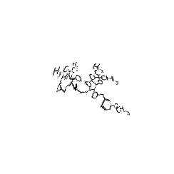 COc1cccc(COC2C(CN(CC3CC3)C(=O)NC(C)C)OC3OC(C)(C)OC32)c1